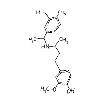 COc1cc(CCC(C)NC(C)c2ccc(C)c(C)c2)ccc1O